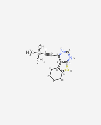 C[Si](C)(C)C#Cc1ncnc2sc3c(c12)CCCC3